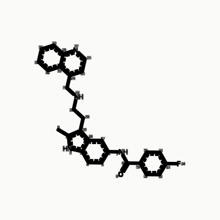 Cc1[nH]c2ccc(NC(=O)c3ccc(F)cc3)cc2c1CCNCc1ccnc2ccccc12